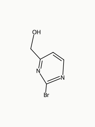 OCc1ccnc(Br)n1